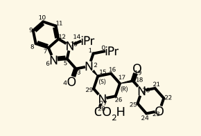 CC(C)CN(C(=O)c1nc2ccccc2n1C(C)C)[C@H]1C[C@@H](C(=O)N2CCOCC2)CN(C(=O)O)C1